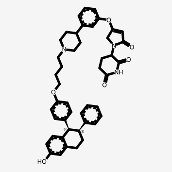 O=C1CCC(N2CC(Oc3cccc(C4CCN(CCCCOc5ccc([C@@H]6c7ccc(O)cc7CC[C@@H]6c6ccccc6)cc5)CC4)c3)=CC2=O)C(=O)N1